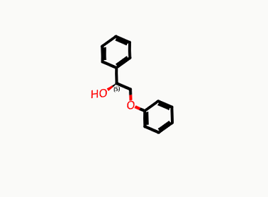 O[C@H](COc1ccccc1)c1ccccc1